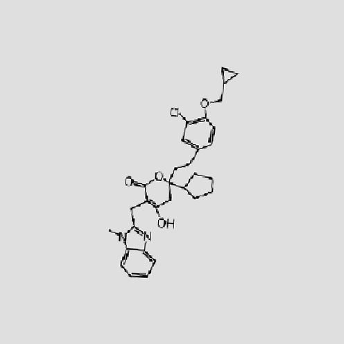 Cn1c(CC2=C(O)CC(CCc3ccc(OCC4CC4)c(Cl)c3)(C3CCCC3)OC2=O)nc2ccccc21